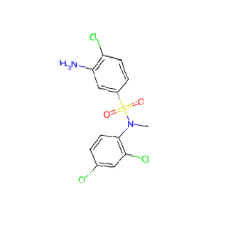 CN(c1ccc(Cl)cc1Cl)S(=O)(=O)c1ccc(Cl)c(N)c1